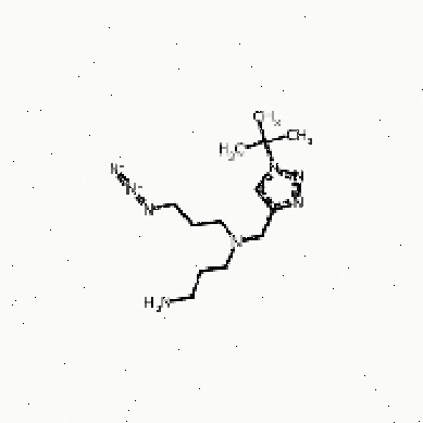 CC(C)(C)n1cc(CN(CCCN)CCCN=[N+]=[N-])nn1